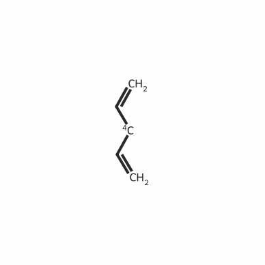 C=C[4CH2]C=C